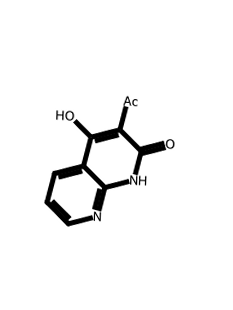 CC(=O)c1c(O)c2cccnc2[nH]c1=O